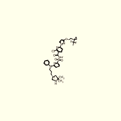 CC1(C)C[C@H](CCCN(c2ccccc2)c2cccc(S(=O)(=O)NC(=O)c3ccc(-n4ccc(OCCC5(C(F)(F)F)CC5)n4)nc3Cl)n2)CN1